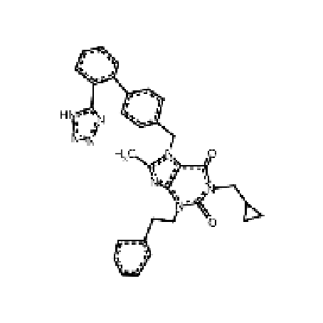 Cc1nc2c(c(=O)n(CC3CC3)c(=O)n2CCc2ccccc2)n1Cc1ccc(-c2ccccc2-c2nnn[nH]2)cc1